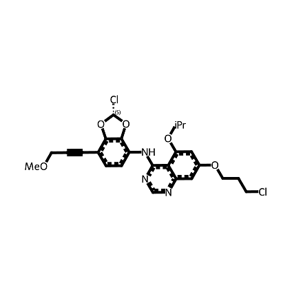 COCC#Cc1ccc(Nc2ncnc3cc(OCCCCl)cc(OC(C)C)c23)c2c1O[C@H](Cl)O2